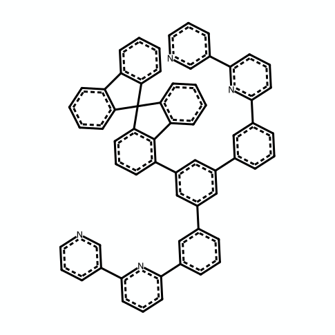 c1cncc(-c2cccc(-c3cccc(-c4cc(-c5cccc(-c6cccc(-c7cccnc7)n6)c5)cc(-c5cccc6c5-c5ccccc5C65c6ccccc6-c6ccccc65)c4)c3)n2)c1